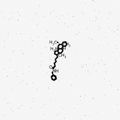 CC[C@H]1C[C@@]2(N)C3CCC(CCCCCC(=O)NCc4ccccc4)[C@@]3(C)CC[C@@H]2C2(C)CCCCC12